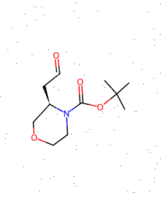 CC(C)(C)OC(=O)N1CCOC[C@H]1CC=O